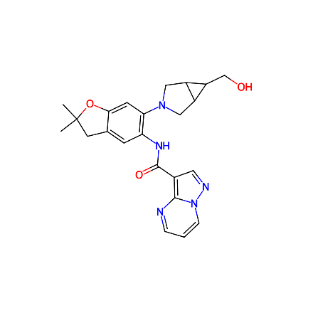 CC1(C)Cc2cc(NC(=O)c3cnn4cccnc34)c(N3CC4C(CO)C4C3)cc2O1